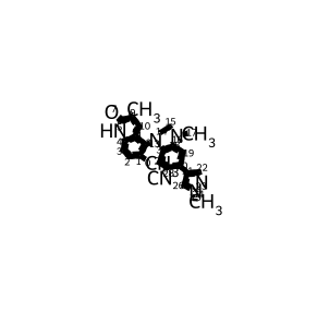 Cc1ccc2[nH]c(=O)c(C)cc2c1N1CCN(C)c2cc(-c3cnn(C)c3)c(C#N)cc21